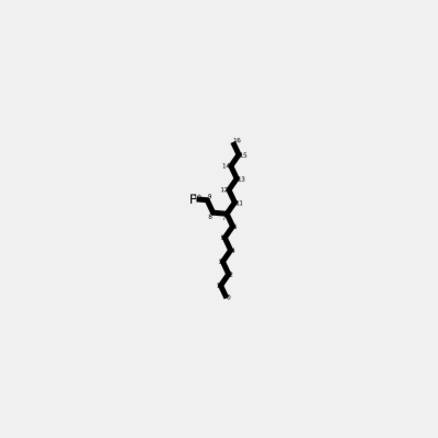 CCCCCCCC(CCF)CCCCCC